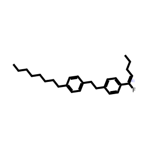 CCC/C=C(/F)c1ccc(CCc2ccc(CCCCCCCC)cc2)cc1